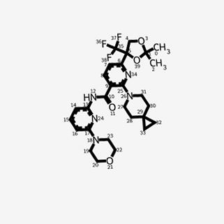 CC1(C)OCC(c2ccc(C(=O)Nc3cccc(N4CCOCC4)n3)c(N3CCC4(CC3)CC4)n2)(C(F)(F)F)O1